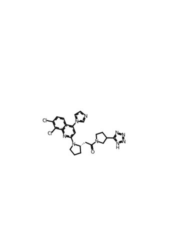 O=C(C[C@@H]1CCCN1c1cc(-n2ccnc2)c2ccc(Cl)c(Cl)c2n1)N1CCC(c2nnn[nH]2)C1